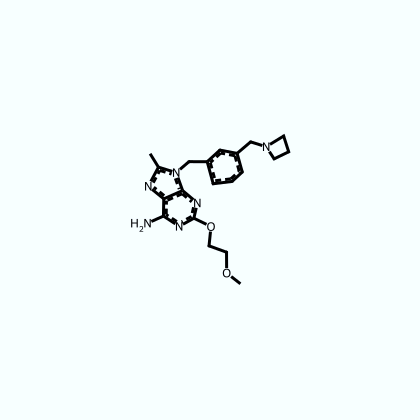 COCCOc1nc(N)c2nc(C)n(Cc3cccc(CN4CCC4)c3)c2n1